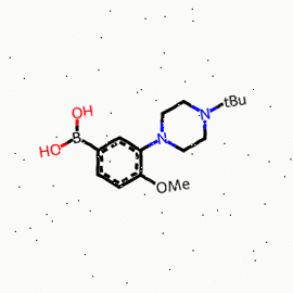 COc1ccc(B(O)O)cc1N1CCN(C(C)(C)C)CC1